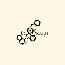 CCC1CCc2ncnc(N3CC4(CCN(Cc5ccccc5)CC4)c4c(N(C)C(=O)O)cccc43)c21